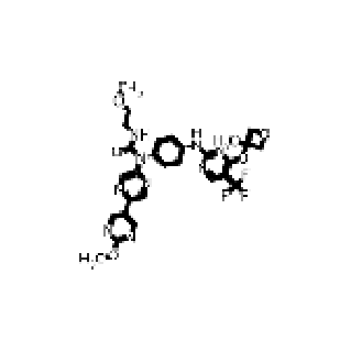 COCCNC(=O)N(c1cnc(-c2cnc(OC)nc2)cn1)[C@H]1CC[C@H](Nc2ncc(C(F)(F)F)c(OC3(C)COC3)n2)CC1